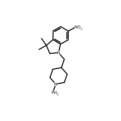 CC1(C)CN(CC2CCN(P)CC2)c2cc([N+](=O)[O-])ccc21